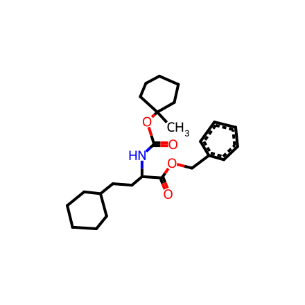 CC1(OC(=O)NC(CCC2CCCCC2)C(=O)OCc2ccccc2)CCCCC1